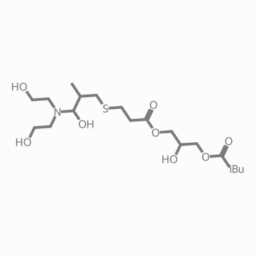 CCC(C)C(=O)OCC(O)COC(=O)CCSCC(C)C(O)N(CCO)CCO